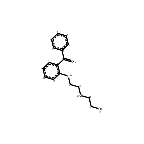 O=C(c1ccccc1)c1ccccc1OCCOCCO